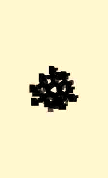 CC(Br)c1c(C(Br)(Br)Br)c(C(C)Br)c(C(Br)(Br)Br)c(C(C)Br)c1C(Br)(Br)Br